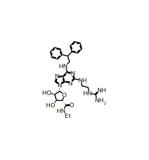 CCNC(=O)[C@H]1O[C@@H](n2cnc3c(NCC(c4ccccc4)c4ccccc4)nc(NCCNC(=N)N)nc32)[C@H](O)[C@@H]1O